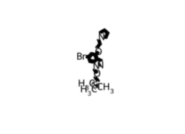 C[Si](C)(C)CCOCn1ncc2c(OCCCN3CCCC3)cc(Br)cc21